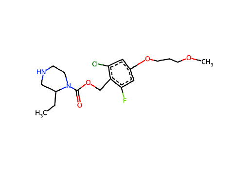 CCC1CNCCN1C(=O)OCc1c(F)cc(OCCCOC)cc1Cl